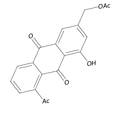 CC(=O)OCc1cc(O)c2c(c1)C(=O)c1cccc(C(C)=O)c1C2=O